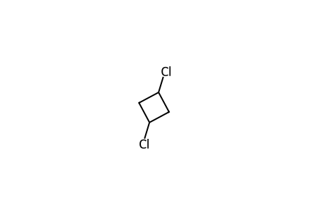 ClC1CC(Cl)C1